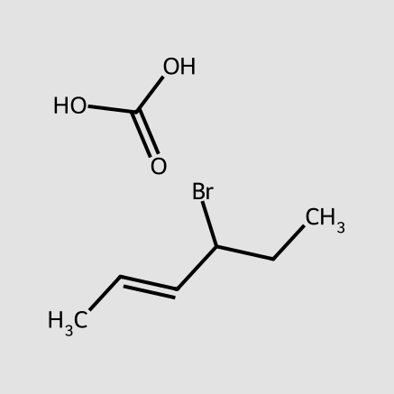 CC=CC(Br)CC.O=C(O)O